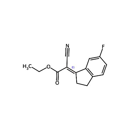 CCOC(=O)/C(C#N)=C1\CCc2ccc(F)cc21